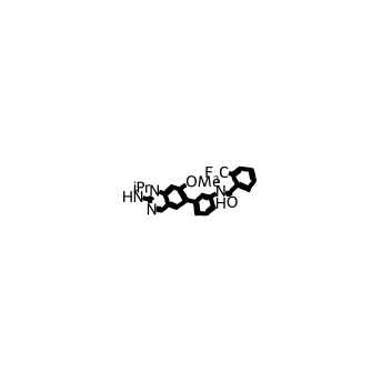 COc1cc2nc(NC(C)C)ncc2cc1-c1cccc(NC(=O)c2ccccc2C(F)(F)F)c1